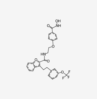 O=C(NO)c1ccc(OCCNC(=O)c2oc3ccccc3c2CCc2cccc(OC(F)(F)F)c2)cc1